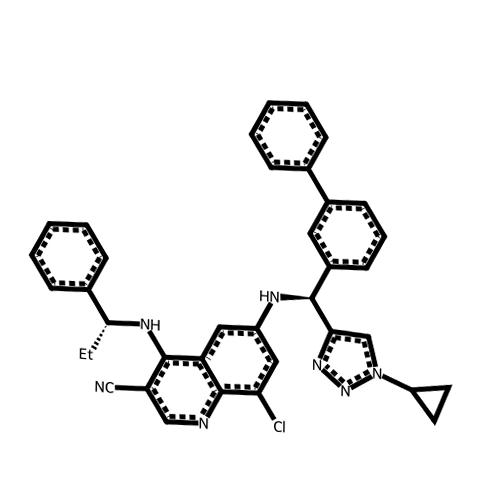 CC[C@@H](Nc1c(C#N)cnc2c(Cl)cc(N[C@@H](c3cccc(-c4ccccc4)c3)c3cn(C4CC4)nn3)cc12)c1ccccc1